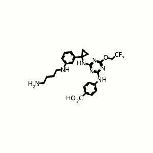 NCCCCNc1cccc(C2(Nc3nc(Nc4ccc(C(=O)O)cc4)nc(OCC(F)(F)F)n3)CC2)c1